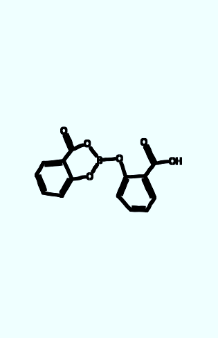 O=C(O)c1ccccc1OB1OC(=O)c2ccccc2O1